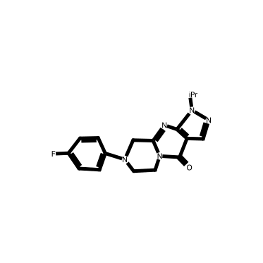 CC(C)n1ncc2c(=O)n3c(nc21)CN(c1ccc(F)cc1)CC3